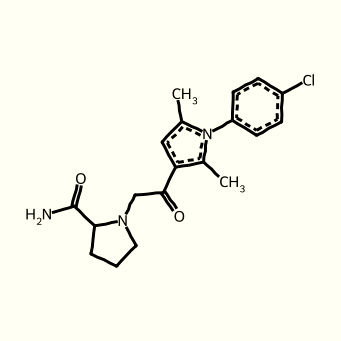 Cc1cc(C(=O)CN2CCCC2C(N)=O)c(C)n1-c1ccc(Cl)cc1